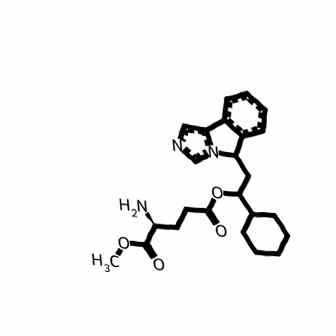 COC(=O)[C@@H](N)CCC(=O)OC(CC1c2ccccc2-c2cncn21)C1CCCCC1